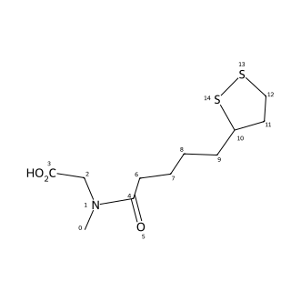 CN(CC(=O)O)C(=O)CCCCC1CCSS1